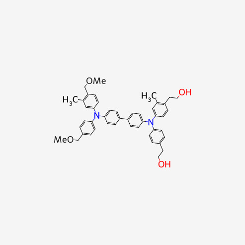 COCc1ccc(N(c2ccc(-c3ccc(N(c4ccc(CCO)cc4)c4ccc(CCO)c(C)c4)cc3)cc2)c2ccc(COC)c(C)c2)cc1